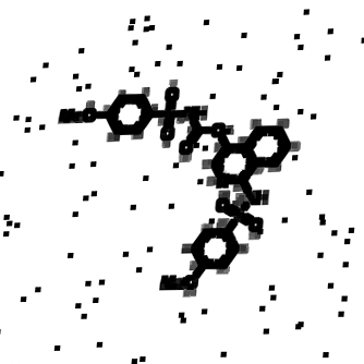 COc1ccc(S(=O)(=O)NC(=O)Oc2cnc(NS(=O)(=O)c3ccc(OC)cc3)c3ccccc23)cc1